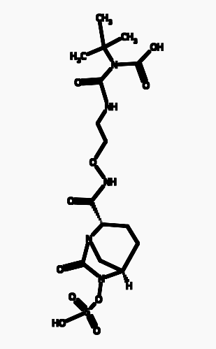 CC(C)(C)N(C(=O)O)C(=O)NCCONC(=O)[C@@H]1CC[C@@H]2CN1C(=O)N2OS(=O)(=O)O